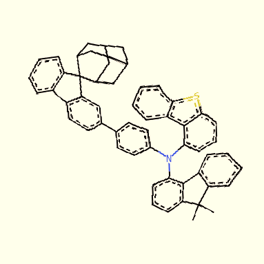 CC1(C)c2ccccc2-c2c(N(c3ccc(-c4ccc5c(c4)C4(c6ccccc6-5)C5CC6CC(C5)CC4C6)cc3)c3cccc4sc5ccccc5c34)cccc21